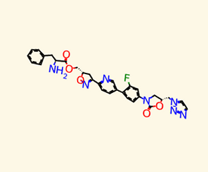 N[C@@H](Cc1ccccc1)C(=O)OC[C@@H]1CC(c2ccc(-c3ccc(N4C[C@H](Cn5ccnn5)OC4=O)cc3F)cn2)=NO1